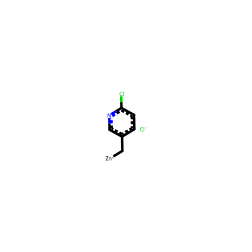 Clc1ccc([CH2][Zn+])cn1.[Cl-]